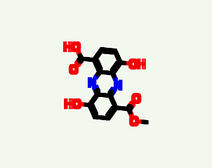 COC(=O)c1ccc(O)c2nc3c(C(=O)O)ccc(O)c3nc12